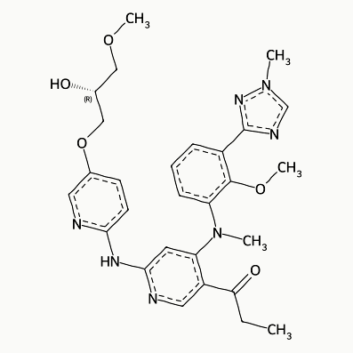 CCC(=O)c1cnc(Nc2ccc(OC[C@H](O)COC)cn2)cc1N(C)c1cccc(-c2ncn(C)n2)c1OC